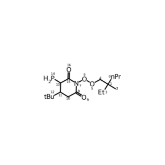 CCCC(C)(CC)COON1C(=O)CC(C(C)(C)C)C(P)C1=O